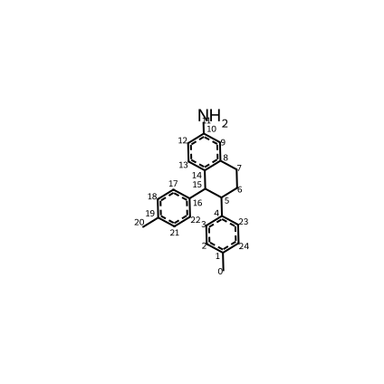 Cc1ccc(C2CCc3cc(N)ccc3C2c2ccc(C)cc2)cc1